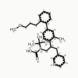 COCCCc1ccccc1-c1ccc(C(Cc2cccnc2)CN(C(=O)O)C(C)(C)C)c(C)c1